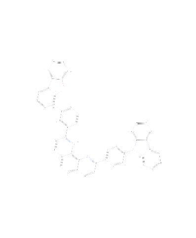 c1cc(-c2ccc3ccc4ccc(-c5ccc(-n6c7ccccc7c7ccccc76)cc5)nc4c3n2)cc(-c2cccc3c2oc2ccccc23)c1